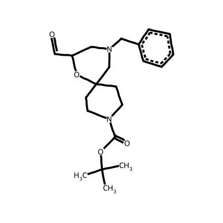 CC(C)(C)OC(=O)N1CCC2(CC1)CN(Cc1ccccc1)CC(C=O)O2